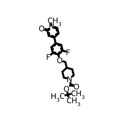 Cn1ccc(-c2cc(F)c(OCC3CCN(C(=O)OC(C)(C)C)CC3)c(F)c2)cc1=O